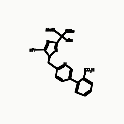 CCCCC(OC)(OC)c1nc(CCC)n(Cc2ccc(-c3ccccc3C(=O)O)cn2)n1